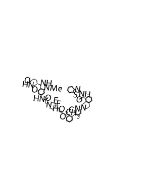 CNc1cc(NC(=O)CN2CC[C@H](CCCOc3cccc(-c4ccc(N5CCc6cccc(C(=O)Nc7nc8ccccc8s7)c6C5)nc4C(=O)O)c3C)C(F)(F)C2)ccc1C(=N)C1CCC(=O)NC1=O